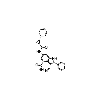 O=C1NN=Cc2c(-c3ccccc3)[nH]c3cc(NC(=O)[C@H]4C[C@@H]4C4C=CC=CC4)cc1c23